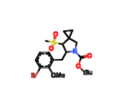 COc1c(Br)cccc1CC1C(S(C)(=O)=O)C2(CC2)CN1C(=O)OC(C)(C)C